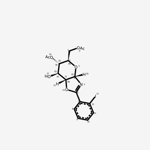 CC(=O)OC[C@H]1O[C@@H]2N=C(c3ccccc3I)O[C@@H]2[C@@H](O)[C@@H]1OC(C)=O